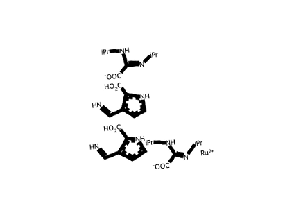 CC(C)N=C(NC(C)C)C(=O)[O-].CC(C)N=C(NC(C)C)C(=O)[O-].N=Cc1cc[nH]c1C(=O)O.N=Cc1cc[nH]c1C(=O)O.[Ru+2]